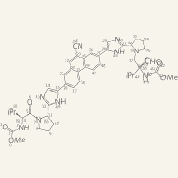 COC(=O)N[C@H](C(=O)N1CCC[C@H]1c1ncc(-c2ccc3c(c2)cc(C#N)c2cc(-c4cnc(C5CCCN5C[C@](C=O)(NC(=O)OC)C(C)C)[nH]4)ccc23)[nH]1)C(C)C